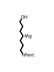 CCCCCCCCCCCCO.[Mg]